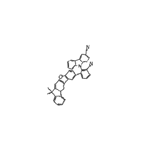 CC1(C)C2=Cc3oc4ccc(-c5cccc(C#N)c5-n5c6ccccc6c6cc(C#N)ccc65)cc4c3CC2c2ccccc21